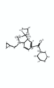 CN(CC1CC1)C1C=CC(C(=O)N2CCCCC2)=CC1C1(C=O)OCCO1